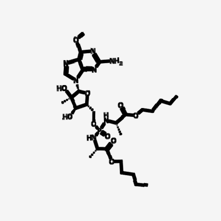 CCCCCOC(=O)[C@H](C)NP(=O)(N[C@@H](C)C(=O)OCCCCC)OC[C@H]1O[C@@H](n2cnc3c(OC)nc(N)nc32)[C@](C)(O)[C@@H]1O